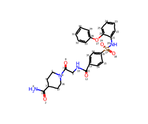 NC(=O)C1CCN(C(=O)CNC(=O)c2ccc(S(=O)(=O)Nc3ccccc3Oc3ccccc3)cc2)CC1